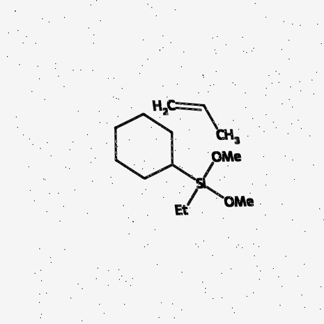 C=CC.CC[Si](OC)(OC)C1CCCCC1